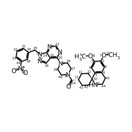 COc1cc2c(cc1OC)[C@]1(CC[C@@H](C(=O)N3CCN(c4ncnc5c4cnn5Cc4cccc([N+](=O)[O-])c4)CC3)CC1)NCC2